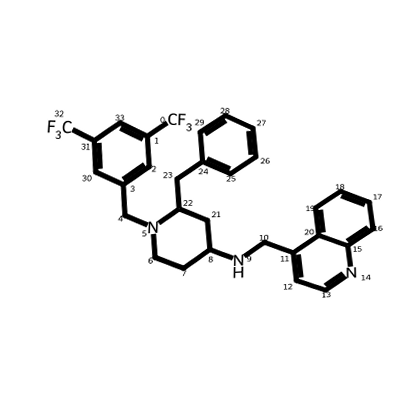 FC(F)(F)c1cc(CN2CCC(NCc3ccnc4ccccc34)CC2Cc2ccccc2)cc(C(F)(F)F)c1